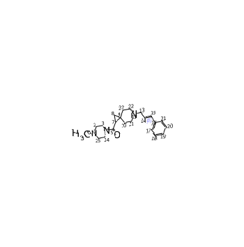 CN1CCN(C(=O)C2CC23CCN(C/C=C/c2ccccc2)CC3)CC1